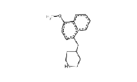 COc1ccc(CC2CCNCC2)c2ccccc12